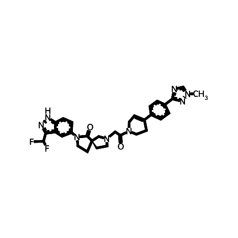 Cn1cnc(-c2ccc(C3=CCN(C(=O)CN4CC[C@]5(CCN(c6ccc7[nH]nc(C(F)F)c7c6)C5=O)C4)CC3)cc2)n1